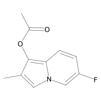 CC(=O)Oc1c(C)cn2cc(F)ccc12